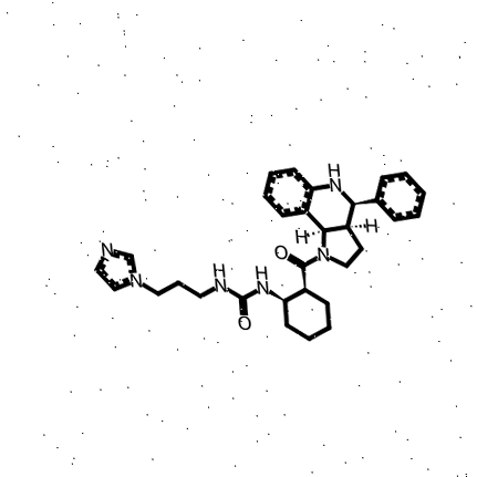 O=C(NCCCn1ccnc1)N[C@@H]1CCCC[C@@H]1C(=O)N1CC[C@@H]2[C@H](c3ccccc3)Nc3ccccc3[C@@H]21